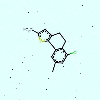 Cc1cc(Cl)c2c(c1)-c1sc(C(=O)O)cc1CC2